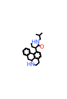 CCC(C(=O)NCC(C)C)c1ccc2c3c1-c1ccccc1CC3NCC2